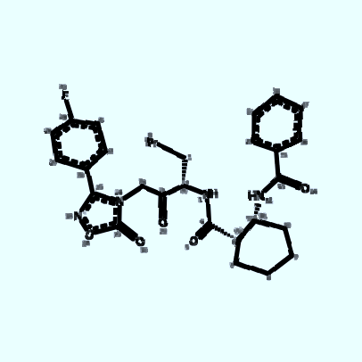 CC(C)C[C@H](NC(=O)[C@H]1CCCC[C@H]1NC(=O)c1ccccc1)C(=O)Cn1c(-c2ccc(F)cc2)noc1=O